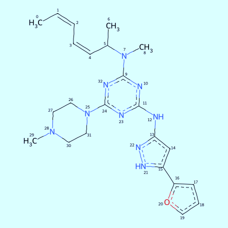 C/C=C\C=C/C(C)N(C)c1nc(Nc2cc(-c3ccco3)[nH]n2)nc(N2CCN(C)CC2)n1